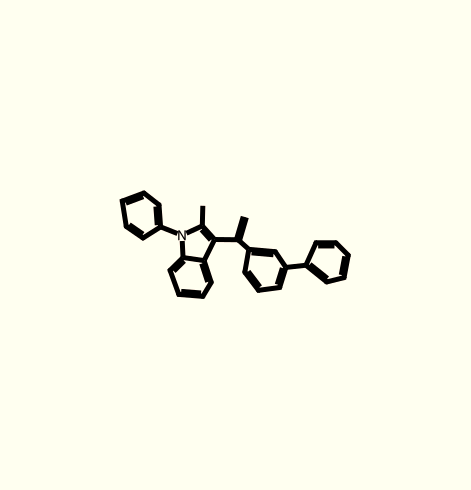 C=C(c1cccc(-c2ccccc2)c1)c1c(C)n(-c2ccccc2)c2ccccc12